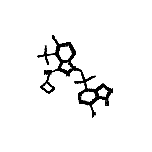 Cc1ccc2c(c(NC3CCC3)nn2CC(C)(C)c2ccc(F)c3[nH]ncc23)c1C(C)(C)C